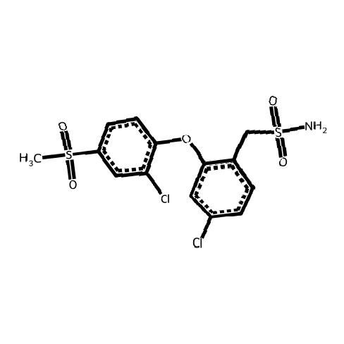 CS(=O)(=O)c1ccc(Oc2cc(Cl)ccc2CS(N)(=O)=O)c(Cl)c1